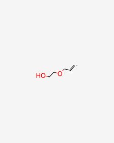 [CH]=CCOCCO